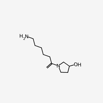 C=C(CCCCCN)N1CCC(O)C1